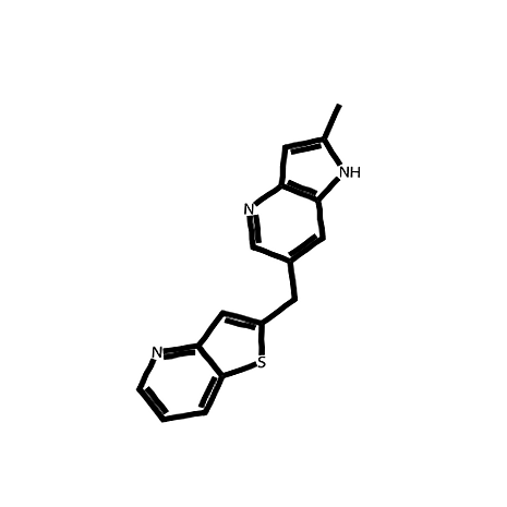 Cc1cc2ncc(Cc3cc4ncccc4s3)cc2[nH]1